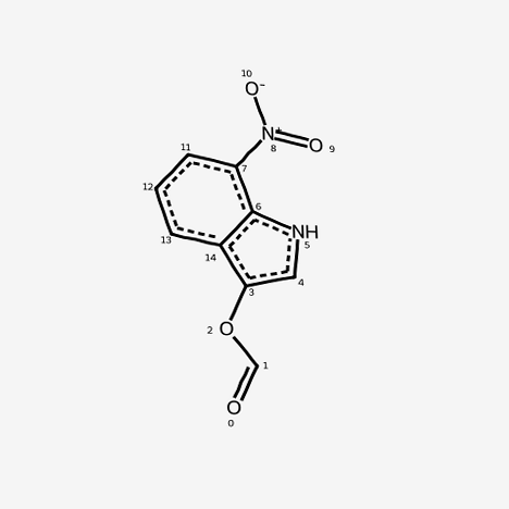 O=COc1c[nH]c2c([N+](=O)[O-])cccc12